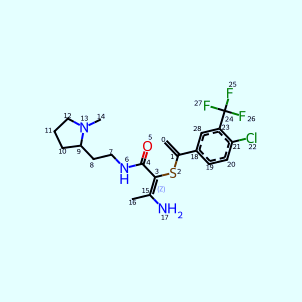 C=C(S/C(C(=O)NCCC1CCCN1C)=C(/C)N)c1ccc(Cl)c(C(F)(F)F)c1